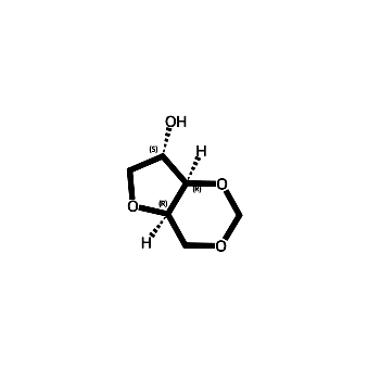 O[C@H]1CO[C@@H]2COCO[C@H]12